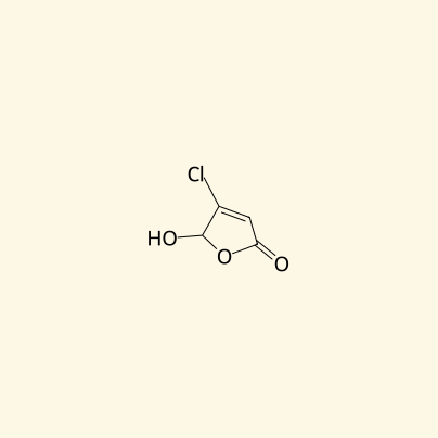 O=C1C=C(Cl)C(O)O1